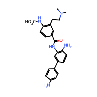 CN(C)CCc1cc(C(=O)Nc2cc(-c3ccc(N)cc3)ccc2N)ccc1NC(=O)O